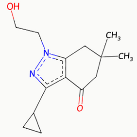 CC1(C)CC(=O)c2c(C3CC3)nn(CCO)c2C1